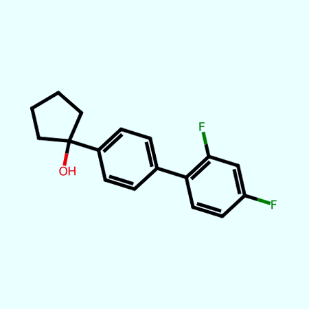 OC1(c2ccc(-c3ccc(F)cc3F)cc2)CCCC1